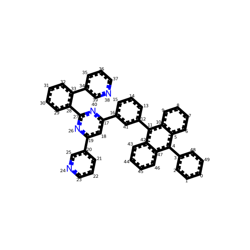 c1ccc(-c2c3ccccc3c(-c3cccc(-c4cc(-c5cccnc5)nc(-c5ccccc5-c5cccnc5)n4)c3)c3ccccc23)cc1